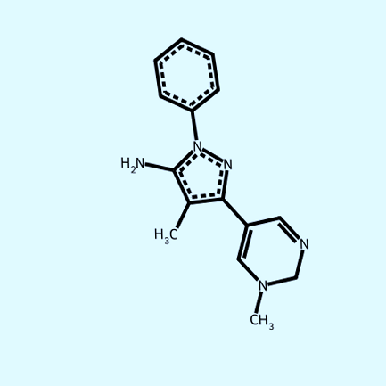 Cc1c(C2=CN(C)CN=C2)nn(-c2ccccc2)c1N